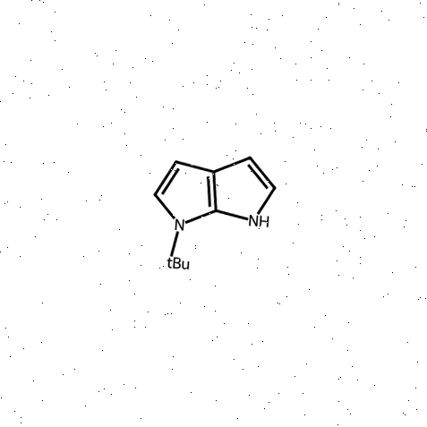 CC(C)(C)n1ccc2cc[nH]c21